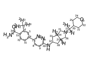 [2H]C([2H])([2H])c1cc(-c2ccc(NC3C[C@@H]4CN(C([2H])([2H])C5CCOCC5)C[C@@H]4C3)nn2)ccc1C(N)=O